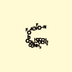 CC(C)(C)OC(=O)CC[C@@H](C(N)=O)N1Cc2c(OCc3ccc(CN4CCN(c5ccc(C#N)cc5F)CC4)c(F)c3)cccc2C1=O